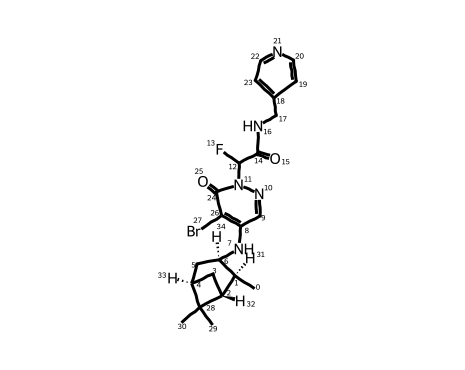 C[C@H]1[C@H]2C[C@H](C[C@H]1Nc1cnn(C(F)C(=O)NCc3ccncc3)c(=O)c1Br)C2(C)C